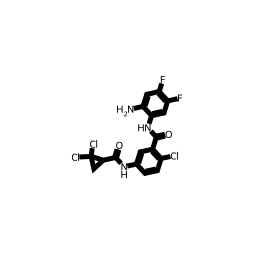 Nc1cc(F)c(F)cc1NC(=O)c1cc(NC(=O)C2CC2(Cl)Cl)ccc1Cl